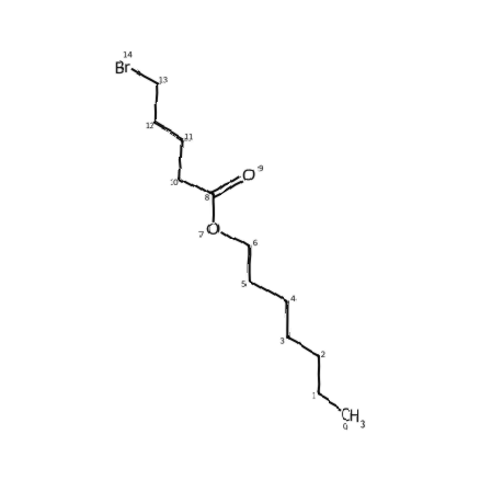 CCCCCCCOC(=O)CCCCBr